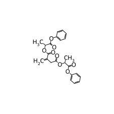 C=C(CC(=O)OC(C)C(=O)Oc1ccccc1)C(=O)OC(C)C(=O)Oc1ccccc1